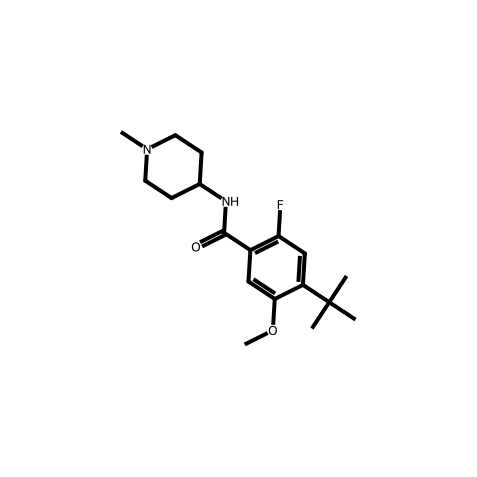 COc1cc(C(=O)NC2CCN(C)CC2)c(F)cc1C(C)(C)C